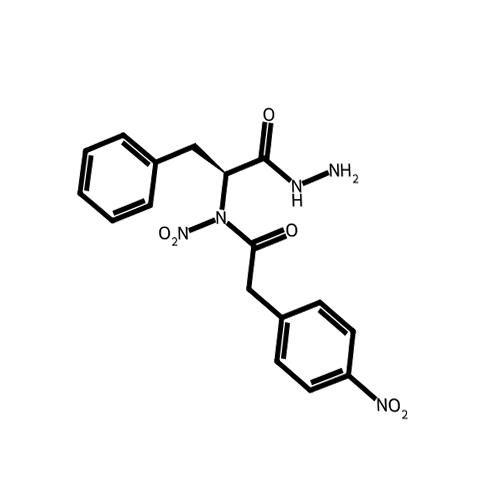 NNC(=O)[C@H](Cc1ccccc1)N(C(=O)Cc1ccc([N+](=O)[O-])cc1)[N+](=O)[O-]